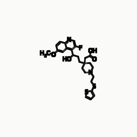 COc1ccc2ncc(F)c(C(O)CCC3(CC(=O)O)CCN(CCSc4cccs4)CC3)c2c1